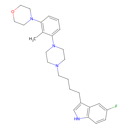 Cc1c(N2CCOCC2)cccc1N1CCN(CCCCc2c[nH]c3ccc(F)cc23)CC1